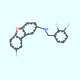 Fc1ccc2oc3ccc(NCc4cccc(F)c4F)cc3c2c1